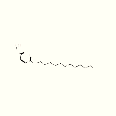 CCCCCCCCCCCCOC(=O)/C=C\C(=O)OC